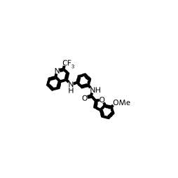 COc1cccc2cc(C(=O)Nc3cccc(Nc4cc(C(F)(F)F)nc5ccccc45)c3)oc12